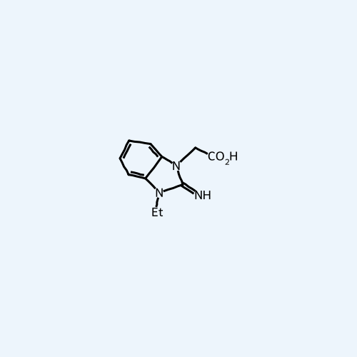 CCn1c(=N)n(CC(=O)O)c2ccccc21